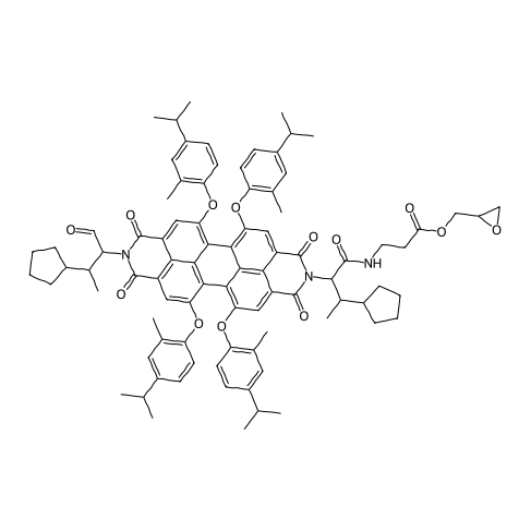 Cc1cc(C(C)C)ccc1Oc1cc2c3c(cc(Oc4ccc(C(C)C)cc4C)c4c5c(Oc6ccc(C(C)C)cc6C)cc6c7c(cc(Oc8ccc(C(C)C)cc8C)c(c1c34)c75)C(=O)N(C(C(=O)NCCC(=O)OCC1CO1)C(C)C1CCCC1)C6=O)C(=O)N(C(C=O)C(C)C1CCCC1)C2=O